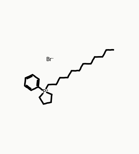 CCCCCCCCCCCC[P+]1(c2ccccc2)CCCC1.[Br-]